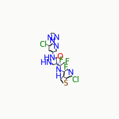 N=C/C(C(=O)Nc1cnc(-n2nccn2)c(Cl)c1)=C(\Nc1cnc(Cl)c2sccc12)C(F)(F)F